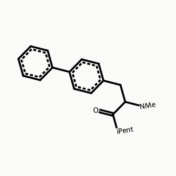 CCCC(C)C(=O)C(Cc1ccc(-c2ccccc2)cc1)NC